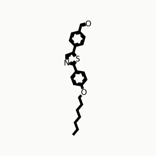 CCCCCCCOc1ccc(-c2ncc(-c3ccc(C=O)cc3)s2)cc1